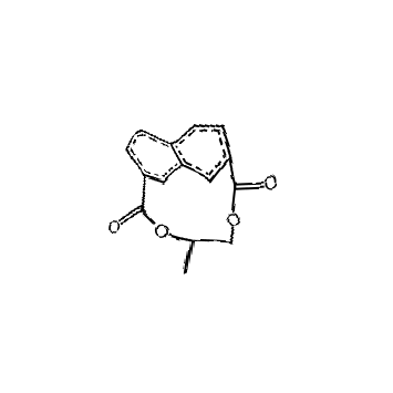 CC1COC(=O)c2ccc3ccc(cc3c2)C(=O)O1